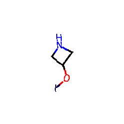 IOC1CNC1